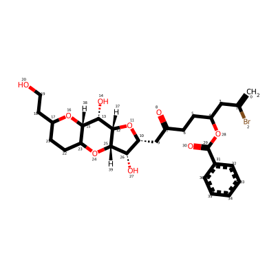 C=C(Br)CC(CCC(=O)C[C@H]1O[C@H]2[C@@H](O)[C@H]3OC(CCO)CCC3O[C@H]2[C@H]1O)OC(=O)c1ccccc1